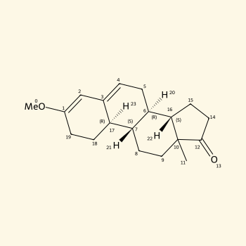 COC1=CC2=CC[C@@H]3[C@H](CCC4(C)C(=O)CC[C@@H]34)[C@H]2CC1